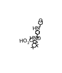 CC1(C)Cc2c(sc(NC(=O)c3ccc(NCC4CCOCC4)cc3)c2C(=O)O)C(C)(C)C1